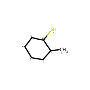 CC1CCCCC1S